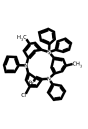 Cc1cc2cc(c1)S(c1ccccc1)(c1ccccc1)c1cc(C)cc(c1)N(c1ccccc1)c1cc(Cl)cc(c1Br)N2c1ccccc1